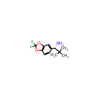 CC(C)(C)[C@@H](N)c1ccc2c(c1)OC(F)(F)O2